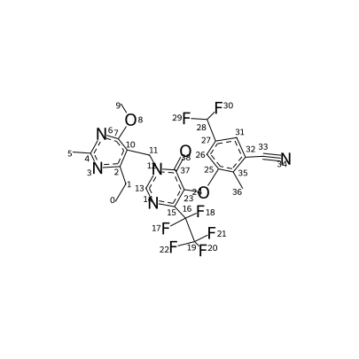 CCc1nc(C)nc(OC)c1Cn1cnc(C(F)(F)C(F)(F)F)c(Oc2cc(C(F)F)cc(C#N)c2C)c1=O